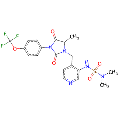 CC1C(=O)N(c2ccc(OC(F)(F)F)cc2)C(=O)N1Cc1ccncc1NS(=O)(=O)N(C)C